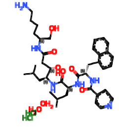 CC(C)C[C@H](NC(=O)[C@H](Cc1cccc2ccccc12)NC(=O)c1ccncc1)C(=O)N[C@@H](CC(C)C)[C@@H](O)CC(=O)N[C@H](CO)CCCCN.Cl.Cl.O.O